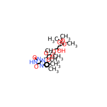 CCO[Si](CCC(O)COC[C@@H](OC)[C@@H](OC)[C@H](Cn1c2nc(=O)[nH]c(=O)c-2nc2cc(C)c(C)cc21)OC)(OCC)OCC